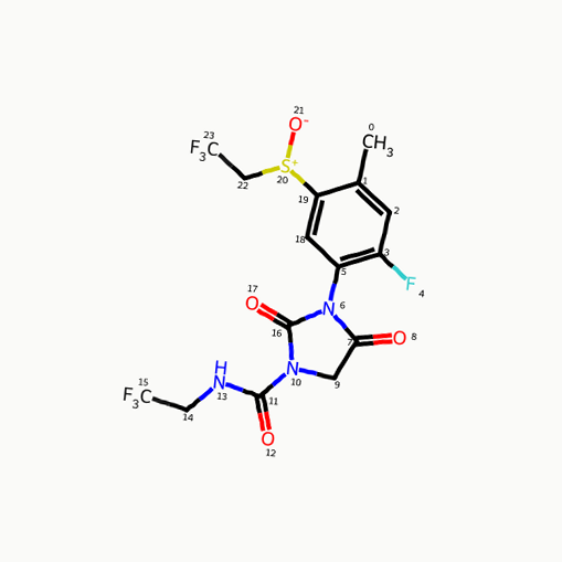 Cc1cc(F)c(N2C(=O)CN(C(=O)NCC(F)(F)F)C2=O)cc1[S+]([O-])CC(F)(F)F